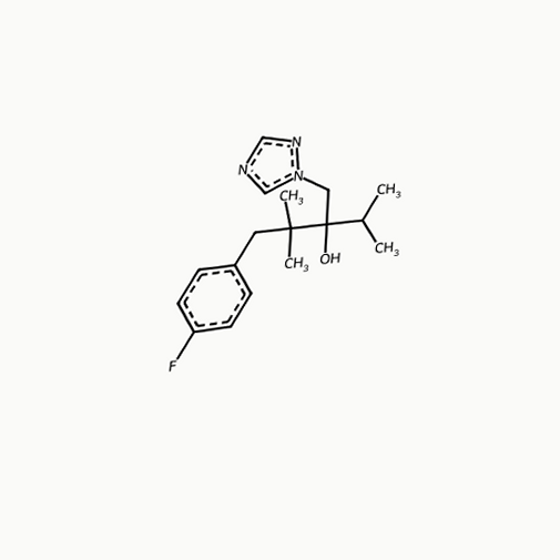 CC(C)C(O)(Cn1cncn1)C(C)(C)Cc1ccc(F)cc1